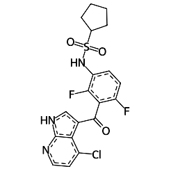 O=C(c1c(F)ccc(NS(=O)(=O)C2CCCC2)c1F)c1c[nH]c2nccc(Cl)c12